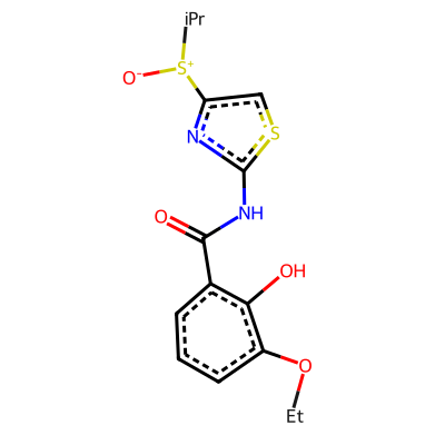 CCOc1cccc(C(=O)Nc2nc([S+]([O-])C(C)C)cs2)c1O